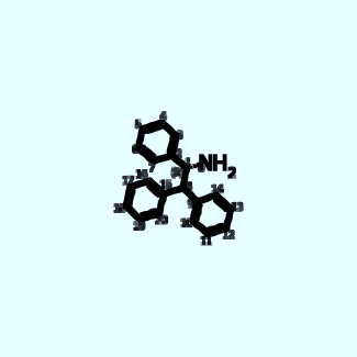 N[C@@H](c1ccccc1)C(c1ccccc1)c1ccccc1